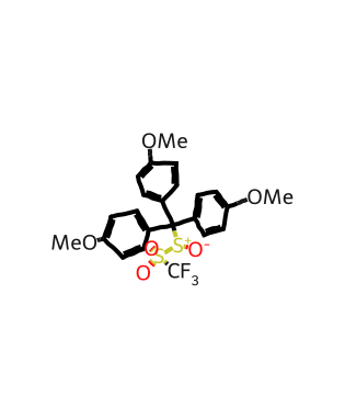 COc1ccc(C(c2ccc(OC)cc2)(c2ccc(OC)cc2)[S+]([O-])S(=O)(=O)C(F)(F)F)cc1